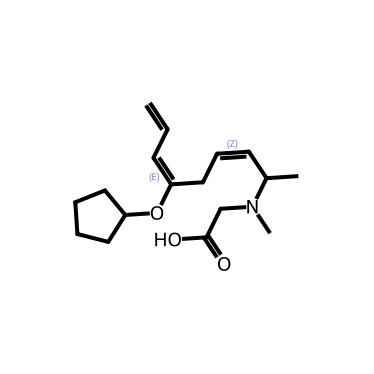 C=C/C=C(\C/C=C\C(C)N(C)CC(=O)O)OC1CCCC1